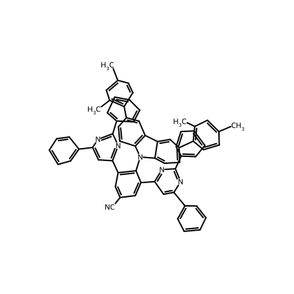 Cc1ccc(-c2ccc3c(c2)c2cc(-c4ccc(C)cc4C)ccc2n3-c2c(-c3cc(-c4ccccc4)nc(-c4ccccc4)n3)cc(C#N)cc2-c2cc(-c3ccccc3)nc(-c3ccccc3)n2)c(C)c1